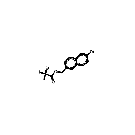 CCC(C)(I)C(=O)OCc1ccc2cc(O)ccc2c1